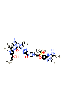 CCCC(O)c1cnc2c(c1)N(C(=O)CN1C[C@@H](C)NC[C@@H]1CN1CCN(c3ncc(C(=O)N4CCN(CCCOc5cc6ncnc(Nc7[nH]nc(C)c7C)c6cc5S(=O)(=O)C(C)(C)C)CC4)cn3)CC1C)CC2(C)C